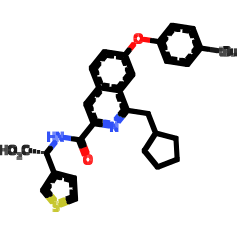 CC(C)(C)c1ccc(Oc2ccc3cc(C(=O)N[C@@H](C(=O)O)c4ccsc4)nc(CC4CCCC4)c3c2)cc1